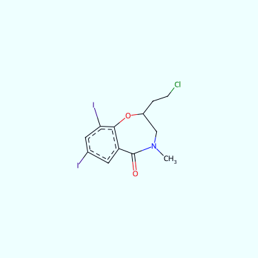 CN1CC(CCCl)Oc2c(I)cc(I)cc2C1=O